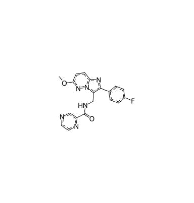 COc1ccc2nc(-c3ccc(F)cc3)c(CNC(=O)c3cnccn3)n2n1